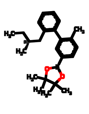 CC[C@@H](C)Cc1ccccc1-c1cc(B2OC(C)(C)C(C)(C)O2)ccc1C